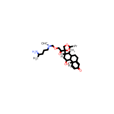 CCCC1OCC(C(=O)COCN(C=O)CCCC(C)N)(C2(C)CC(O)C3C(CCC4=CC(=O)C=CC43C)C2C)O1